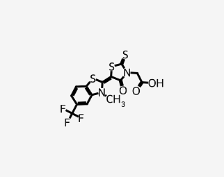 CN1C(=C2SC(=S)N(CC(=O)O)C2=O)Sc2ccc(C(F)(F)F)cc21